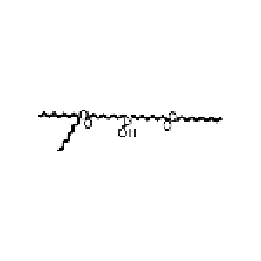 CCCCCCCCCCOC(=O)CCCCCCCN(CCO)CCCCCCCC(=O)OC(CCCCCCCC)CCCCCCCC